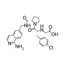 Nc1nccc2cc(CNC(=O)[C@@H]3CCCN3C(=O)[C@@H](Cc3ccc(Cl)cc3)NCC(=O)O)ccc12